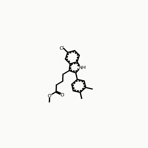 COC(=O)CCCc1c(-c2ccc(C)c(C)c2)[nH]c2ccc(Cl)cc12